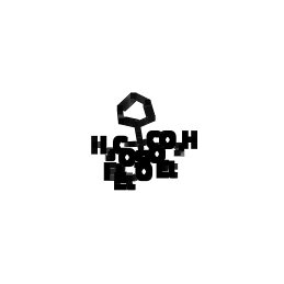 CCO[Si](OCC)(OCC)C(C)(C(=O)O)c1ccccc1